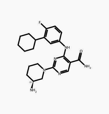 NC(=O)c1cnc(N2CCC[C@H](N)C2)nc1Nc1ccc(F)c(C2CCCCC2)c1